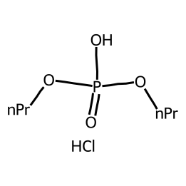 CCCOP(=O)(O)OCCC.Cl